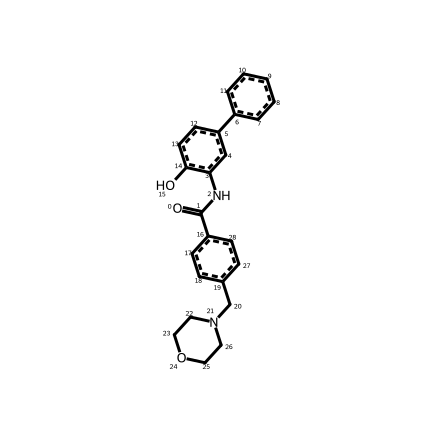 O=C(Nc1cc(-c2ccccc2)ccc1O)c1ccc(CN2CCOCC2)cc1